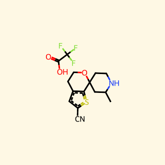 CC1CC2(CCN1)OCCc1cc(C#N)sc12.O=C(O)C(F)(F)F